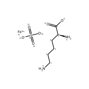 NCCCC[C@H](N)C(=O)[O-].O=S(=O)([O-])[O-].[Fe+3]